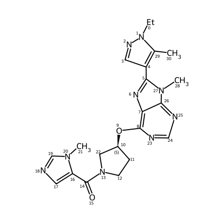 CCn1ncc(-c2nc3c(O[C@H]4CCN(C(=O)c5cncn5C)C4)ncnc3n2C)c1C